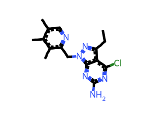 CCc1nn(Cc2ncc(C)c(C)c2C)c2nc(N)nc(Cl)c12